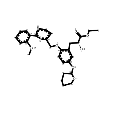 CCOC(=O)[C@H](O)Cc1cc(OC2CCCCO2)ccc1OCc1ccnc(-c2ccccc2OC)n1